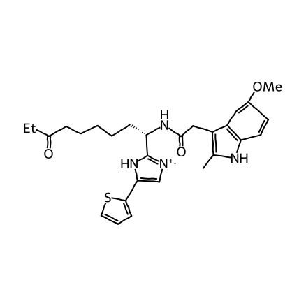 CCC(=O)CCCCC[C@H](NC(=O)Cc1c(C)[nH]c2ccc(OC)cc12)C1=[N+]C=C(c2cccs2)N1